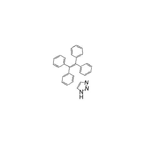 c1c[nH]nn1.c1ccc(C(=C(c2ccccc2)c2ccccc2)c2ccccc2)cc1